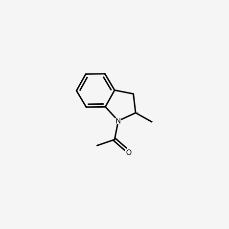 C[C]1Cc2ccccc2N1C(C)=O